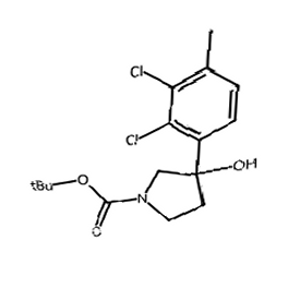 Cc1ccc(C2(O)CCN(C(=O)OC(C)(C)C)C2)c(Cl)c1Cl